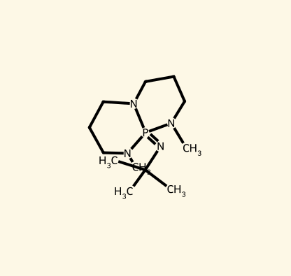 CN1CCCN2CCCN(C)P12=NC(C)(C)C